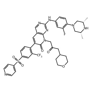 C[C@@H]1CN(c2ccc(Nc3ncc4cc(-c5ccc(S(=O)(=O)c6ccncc6)cc5C(F)(F)F)c(=O)n(CC(=O)CC5CCOCC5)c4n3)cc2F)C[C@H](C)N1